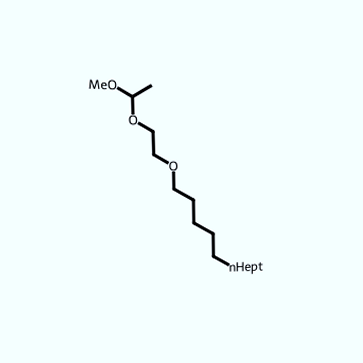 CCCCCCCCCCCCOCCOC(C)OC